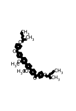 CCCCC(CC)COc1ccc(C(=O)c2ccc(-c3ccc(-c4ccc(-c5ccc(C(=O)c6ccc(OCC(CC)CCCC)cc6)cc5)c(OC)c4)cc3OC)cc2)cc1